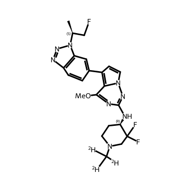 [2H]C([2H])([2H])N1CC[C@@H](Nc2nc(OC)c3c(-c4ccc5nnn([C@@H](C)CF)c5c4)ccn3n2)C(F)(F)C1